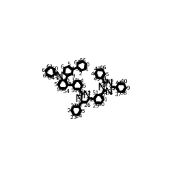 c1ccc(-c2ccc3c(c2)c2c(-c4cccc(-c5nc(-c6ccccc6)cc(-c6cccc(-c7nc(-c8ccccc8)nc(-c8ccccc8)n7)c6)n5)c4)cccc2n3-c2ccccc2)cc1